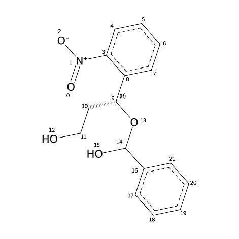 O=[N+]([O-])c1ccccc1[C@@H](CCO)OC(O)c1ccccc1